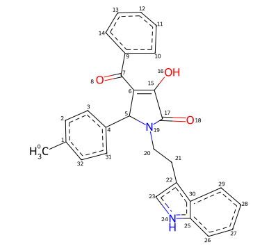 Cc1ccc(C2C(C(=O)c3ccccc3)=C(O)C(=O)N2CCc2c[nH]c3ccccc23)cc1